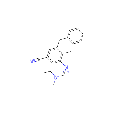 CCN(C)/C=N\c1cc(C#N)cc(Cc2ccccc2)c1C